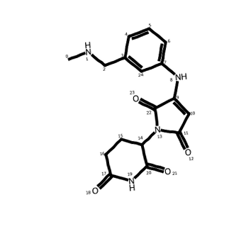 CNCc1cccc(NC2=CC(=O)N(C3CCC(=O)NC3=O)C2=O)c1